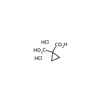 Cl.Cl.O=C(O)C1(C(=O)O)CC1